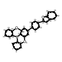 c1ccc2c(c1)Oc1cc(-c3ccc(-c4cc5ccccc5o4)cc3)cc3c1B2c1ccccc1O3